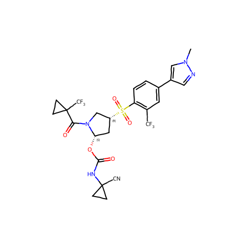 Cn1cc(-c2ccc(S(=O)(=O)[C@@H]3C[C@H](OC(=O)NC4(C#N)CC4)N(C(=O)C4(C(F)(F)F)CC4)C3)c(C(F)(F)F)c2)cn1